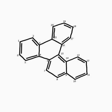 [c]1ccc2c(c1)c1ccc3ccccc3c1c1ccccc21